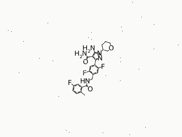 Cc1ccc(F)cc1C(=O)NCc1cc(F)c(-c2nn(C3CCCOC3)c(N)c2C(N)=O)cc1F